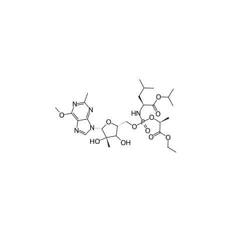 CCOC(=O)[C@H](C)OP(=O)(N[C@@H](CC(C)C)C(=O)OC(C)C)OC[C@H]1O[C@@H](n2cnc3c(OC)nc(C)nc32)[C@@](C)(O)C1O